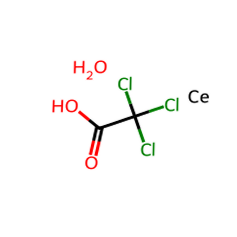 O.O=C(O)C(Cl)(Cl)Cl.[Ce]